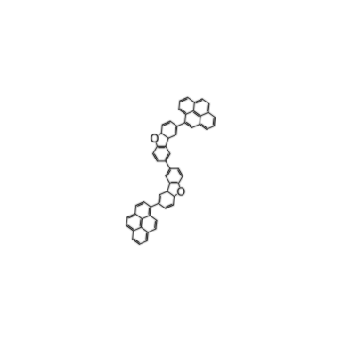 C1=CC2Oc3ccc(-c4ccc5c(c4)C4C=C(c6cc7cccc8ccc9cccc6c9c87)C=CC4O5)cc3C2C=C1c1ccc2ccc3cccc4ccc1c2c34